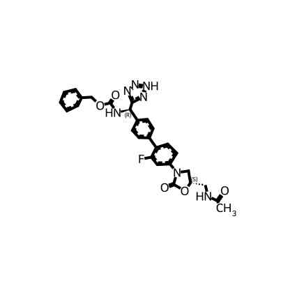 CC(=O)NC[C@H]1CN(c2ccc(-c3ccc([C@@H](NC(=O)OCc4ccccc4)c4nn[nH]n4)cc3)c(F)c2)C(=O)O1